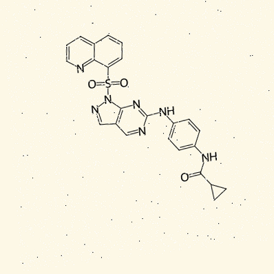 O=C(Nc1ccc(Nc2ncc3cnn(S(=O)(=O)c4cccc5cccnc45)c3n2)cc1)C1CC1